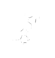 Fc1cc(Cl)cc(Cn2ccc3c(Cl)ncnc32)c1